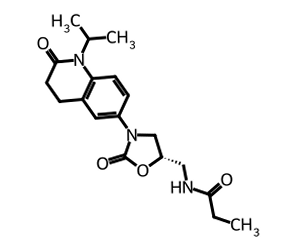 CCC(=O)NC[C@H]1CN(c2ccc3c(c2)CCC(=O)N3C(C)C)C(=O)O1